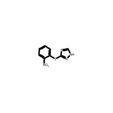 O=[N+]([O-])c1ccccc1Sc1nc[nH]n1